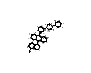 CCc1cccc2c1=CCCC=2C1=c2ccccc2=C(C2=CC(C3C=CC(C4C=CC=CC4)=NC3)=CCC2)C2C=CC=CC12